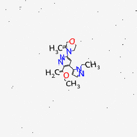 C=C(OCC)c1nnc(N2CCOC[C@H]2C)cc1-c1ccnn1CC